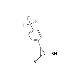 FC(F)(F)c1ccc(-c2c(S)c2=S)cc1